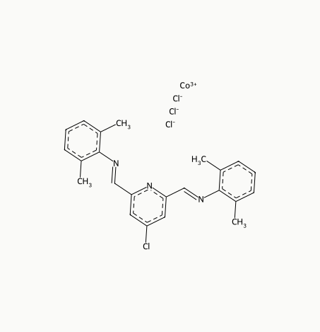 Cc1cccc(C)c1N=Cc1cc(Cl)cc(C=Nc2c(C)cccc2C)n1.[Cl-].[Cl-].[Cl-].[Co+3]